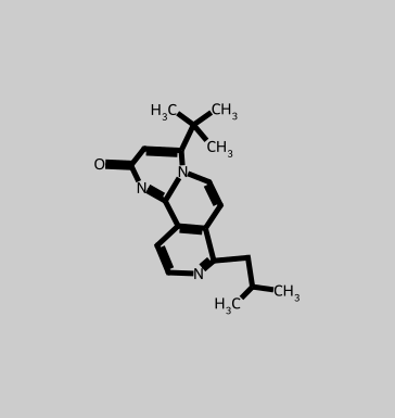 CC(C)Cc1nccc2c1ccn1c(C(C)(C)C)cc(=O)nc21